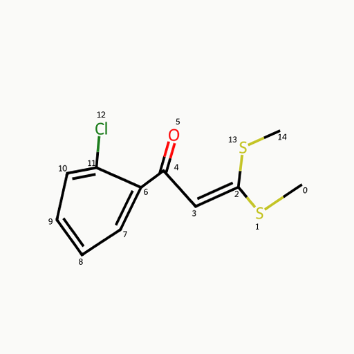 CSC(=CC(=O)c1ccccc1Cl)SC